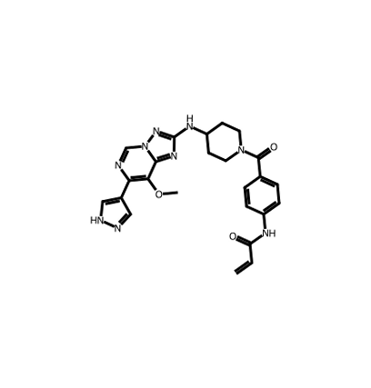 C=CC(=O)Nc1ccc(C(=O)N2CCC(Nc3nc4c(OC)c(-c5cn[nH]c5)ncn4n3)CC2)cc1